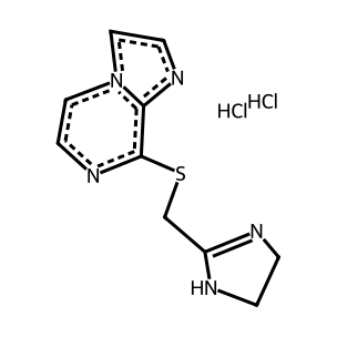 Cl.Cl.c1cn2ccnc2c(SCC2=NCCN2)n1